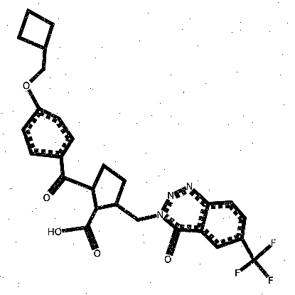 O=C(c1ccc(OCC2CCC2)cc1)C1CCC(Cn2nnc3ccc(C(F)(F)F)cc3c2=O)C1C(=O)O